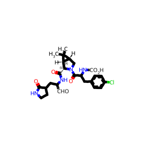 CC1(C)[C@@H]2[C@@H](C(=O)NC(C=O)CC3CCNC3=O)N(C(=O)C(Cc3ccc(Cl)cc3)NC(=O)O)C[C@@H]21